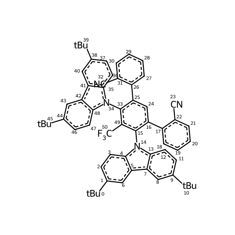 CC(C)(C)c1ccc2c(c1)c1cc(C(C)(C)C)ccc1n2-c1c(-c2ccccc2C#N)cc(-c2ccccc2C#N)c(-n2c3ccc(C(C)(C)C)cc3c3cc(C(C)(C)C)ccc32)c1C(F)(F)F